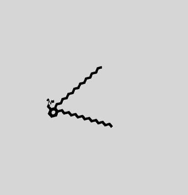 CCCCCCCCCCCCCCCCc1cccc(CN(C)C)c1CCCCCCCCCCCCCCCC